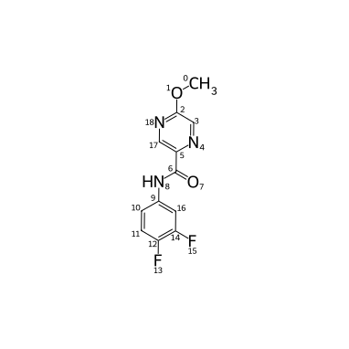 COc1cnc(C(=O)Nc2ccc(F)c(F)c2)cn1